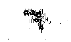 CCN(C(=O)Oc1ccc(F)cc1)[C@@H]1CNC[C@H]1c1cc(Cl)c(Cl)c(Cl)c1C(=O)C1CCNC(c2ccccn2)C1